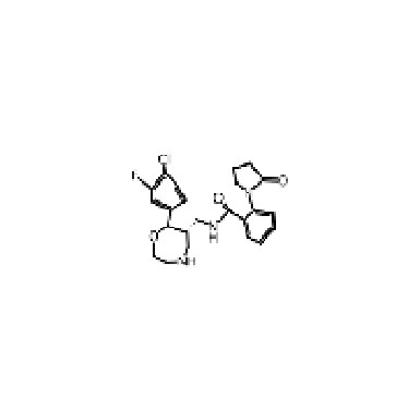 O=C(NC[C@@H]1CNCCO[C@H]1c1ccc(Cl)c(F)c1)c1ccccc1N1CCCC1=O